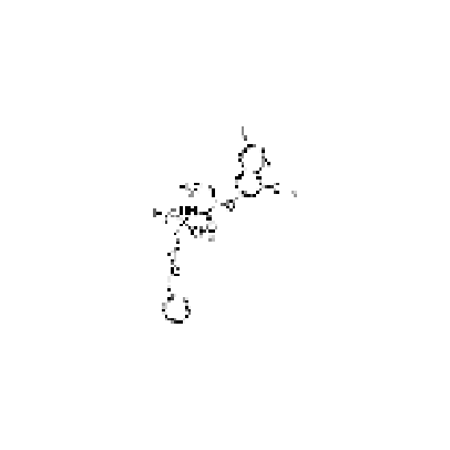 CSC(Oc1cc(C)c2ncc(I)cc2c1)C(=O)NC(C)(C)CC=NOCc1ccccc1